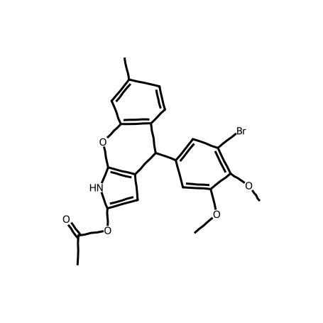 COc1cc(C2c3ccc(C)cc3Oc3[nH]c(OC(C)=O)cc32)cc(Br)c1OC